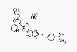 CCOC(=O)CN(C(=O)Oc1ccc2sc(CCc3ccc(C(=N)N)cc3)nc2c1)c1ccccn1.Cl.Cl